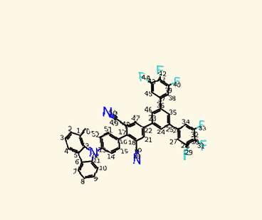 Cc1cccc2c3ccccc3n(-c3ccc(-c4c(C#N)cc(-c5cc(-c6cc(F)c(F)c(F)c6)cc(-c6cc(F)c(F)c(F)c6)c5)cc4C#N)cc3)c12